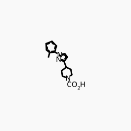 Cc1ccccc1-n1ccc(C2CCN(C(=O)O)CC2)n1